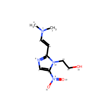 CN(C)/C=C/c1ncc([N+](=O)[O-])n1CCO